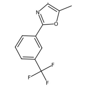 Cc1[c]nc(-c2cccc(C(F)(F)F)c2)o1